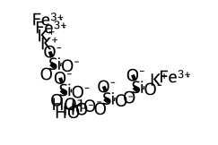 O=[Si]([O-])[O-].O=[Si]([O-])[O-].O=[Si]([O-])[O-].O=[Si]([O-])[O-].[Fe+3].[Fe+3].[Fe+3].[K+].[K+].[K+].[OH-].[OH-].[OH-].[OH-]